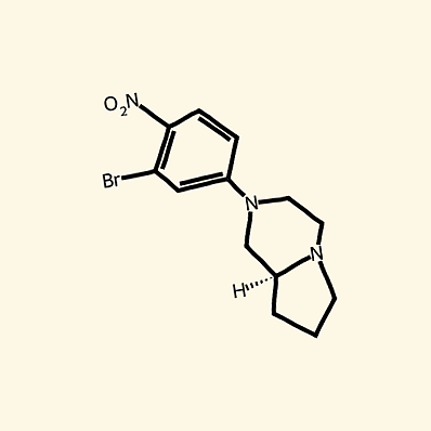 O=[N+]([O-])c1ccc(N2CCN3CCC[C@H]3C2)cc1Br